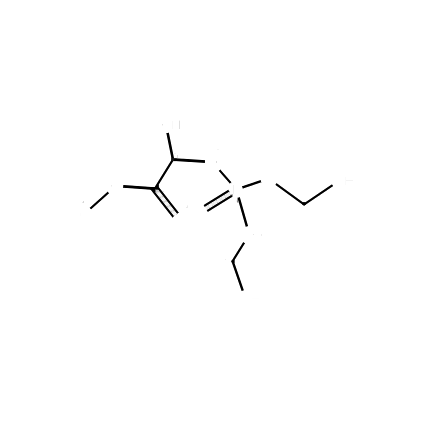 CCOP(=O)(OCC)OC(C)C(=O)OC